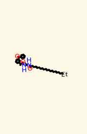 CCC=CCC=CCC=CCC=CCC=CCC=CCCC(=O)NCCNC(=O)C(C)c1cccc(C(=O)c2ccccc2)c1